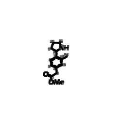 COC(=O)Cc1ccc(C2CCCN2)c(C)c1